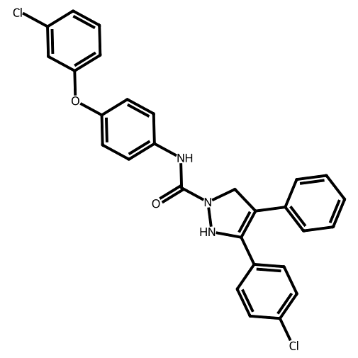 O=C(Nc1ccc(Oc2cccc(Cl)c2)cc1)N1CC(c2ccccc2)=C(c2ccc(Cl)cc2)N1